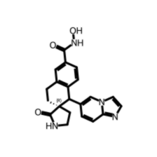 O=C(NO)c1ccc2c(c1)CC[C@@]1(CCNC1=O)C2c1ccc2nccn2c1